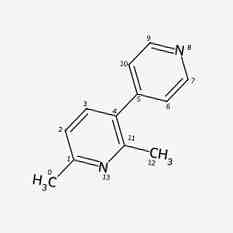 Cc1ccc(-c2ccncc2)c(C)n1